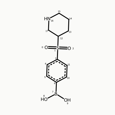 O=S(=O)(c1ccc(B(O)O)cc1)C1CCCNC1